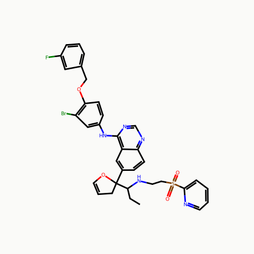 CCC(NCCS(=O)(=O)c1ccccn1)C1(c2ccc3ncnc(Nc4ccc(OCc5cccc(F)c5)c(Br)c4)c3c2)CC=CO1